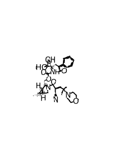 C[C@H]1[C@H]2CN(C(=O)C(C#N)CC(C)(C)N3CCOCC3)[C@@H](COC(=O)N[C@@H](Cc3coc4ccccc34)B(O)O)[C@@H]12